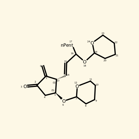 C=C1C(=O)C[C@H](OC2CCCCO2)[C@H]1C=CC(CCCCC)OC1CCCCO1